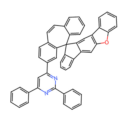 C1=Cc2ccc(-c3cc(-c4ccccc4)nc(-c4ccccc4)n3)cc2C2(c3ccccc31)c1ccccc1-c1cc3oc4ccccc4c3cc12